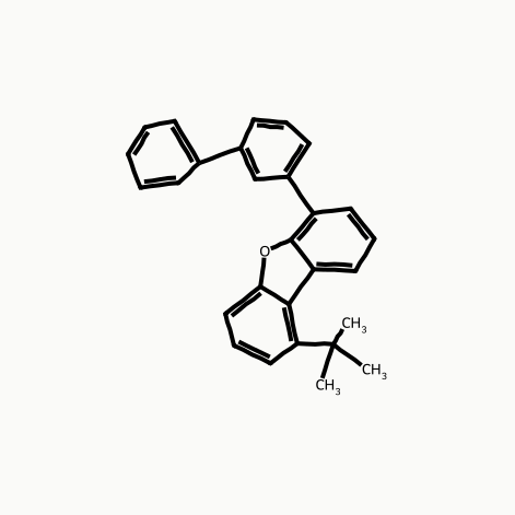 CC(C)(C)c1cccc2oc3c(-c4cccc(-c5ccccc5)c4)cccc3c12